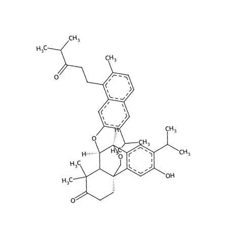 Cc1ccc2cc(C(C)C)c(O[C@@H]3C4C(C)(C)C(=O)CC[C@@]45CO[C@@H]3c3cc(C(C)C)c(O)cc35)cc2c1CCC(=O)C(C)C